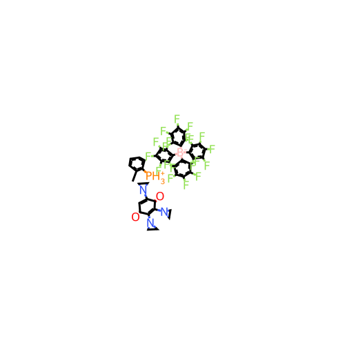 Cc1ccccc1[PH3+].Fc1c(F)c(F)c([B-](c2c(F)c(F)c(F)c(F)c2F)(c2c(F)c(F)c(F)c(F)c2F)c2c(F)c(F)c(F)c(F)c2F)c(F)c1F.O=C1C=C(N2CC2)C(=O)C(N2CC2)=C1N1CC1